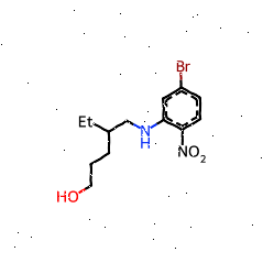 CCC(CCCO)CNc1cc(Br)ccc1[N+](=O)[O-]